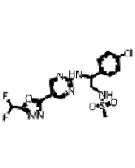 CS(=O)(=O)NCC(Nc1ncc(-c2nnc(C(F)F)o2)cn1)c1ccc(Cl)cc1